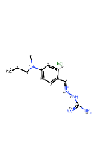 CN(CCC#N)c1ccc(/C=N/NC(=N)N)cc1.Cl